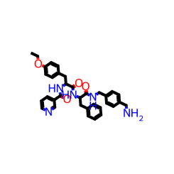 CCOc1ccc(CC(NC(=O)c2cccnc2)C(=O)NC(Cc2ccccc2)C(=O)NCc2ccc(CN)cc2)cc1